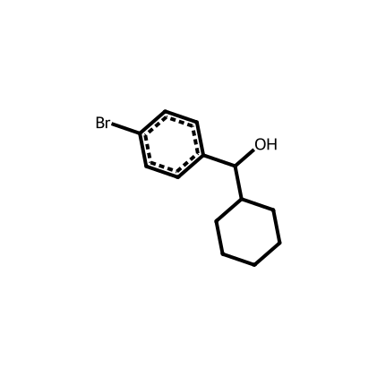 OC(c1ccc(Br)cc1)C1CCCCC1